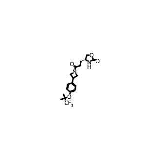 CC(C)(Oc1ccc(C2CN(C(=O)CC[C@@H]3COC(=O)N3)C2)cc1)C(F)(F)F